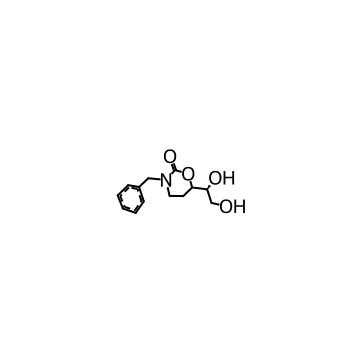 O=C1OC([C@@H](O)CO)CCN1Cc1ccccc1